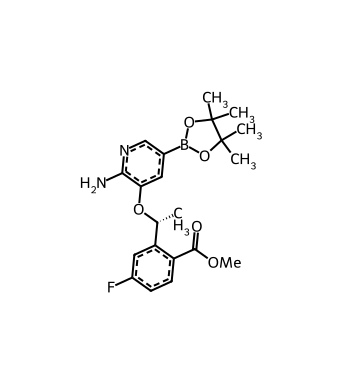 COC(=O)c1ccc(F)cc1[C@@H](C)Oc1cc(B2OC(C)(C)C(C)(C)O2)cnc1N